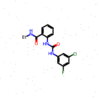 CCNC(=O)c1ccccc1NC(=O)Nc1cc(F)cc(Cl)c1